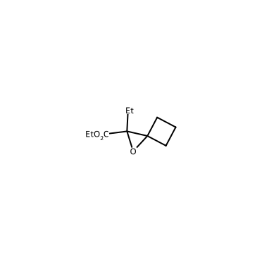 CCOC(=O)C1(CC)OC12CCC2